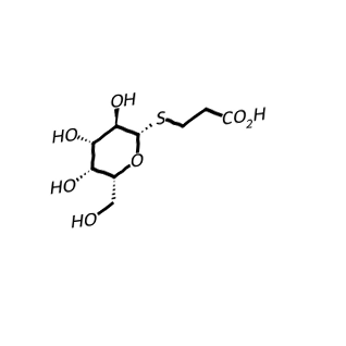 O=C(O)CCS[C@@H]1O[C@H](CO)[C@H](O)[C@H](O)[C@H]1O